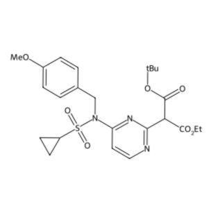 CCOC(=O)C(C(=O)OC(C)(C)C)c1nccc(N(Cc2ccc(OC)cc2)S(=O)(=O)C2CC2)n1